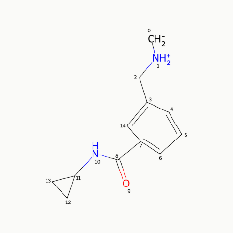 [CH2-][NH2+]Cc1cccc(C(=O)NC2CC2)c1